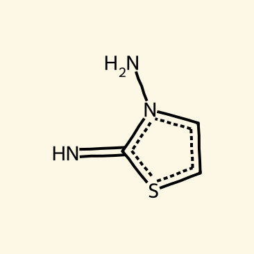 N=c1sccn1N